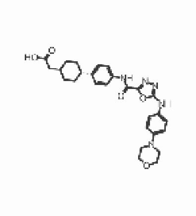 O=C(O)C[C@H]1CC[C@H](c2ccc(NC(=O)c3nnc(Nc4ccc(N5CCOCC5)cc4)o3)cc2)CC1